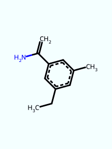 C=C(N)c1cc(C)cc(CC)c1